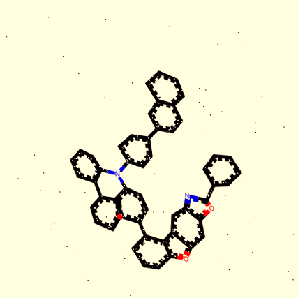 c1ccc(-c2nc3cc4c(cc3o2)oc2cccc(-c3ccc(N(c5ccc(-c6ccc7ccccc7c6)cc5)c5ccccc5-c5ccccc5)cc3)c24)cc1